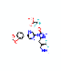 NCC(Cc1n[nH]c(=O)n1-c1cnc(-c2ccc3c(c2)OCO3)cn1)=C(F)F.O=C(O)C(F)(F)F